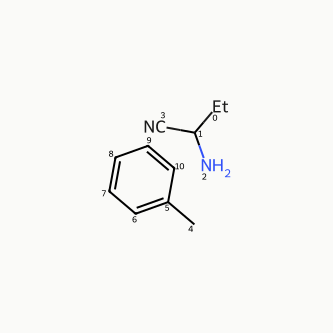 CCC(N)C#N.Cc1ccccc1